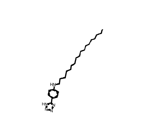 CCCCCCCCCCCCCCCCCCNc1ccc(-c2nnn[nH]2)cc1